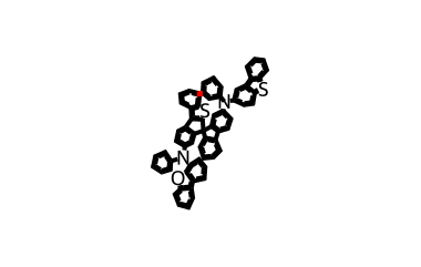 c1ccc(N(c2ccc3c(c2)C2(c4ccccc4-3)c3cc(N(c4ccccc4)c4cccc5c4oc4ccccc45)ccc3-c3c2sc2ccccc32)c2ccc3sc4ccccc4c3c2)cc1